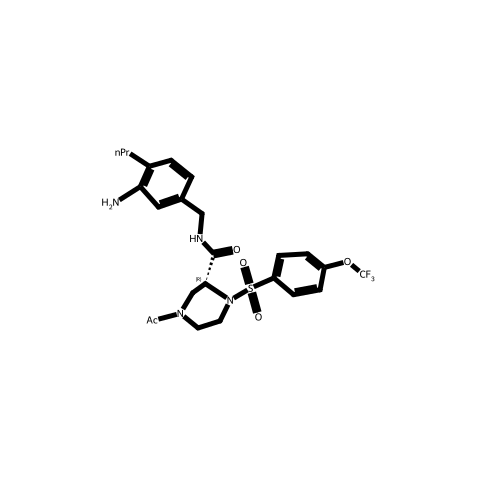 CCCc1ccc(CNC(=O)[C@H]2CN(C(C)=O)CCN2S(=O)(=O)c2ccc(OC(F)(F)F)cc2)cc1N